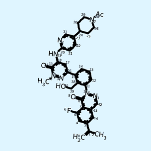 C=C(C)c1cc(F)c2c(=O)n(-c3cccc(-c4cc(Nc5ccc(C6CCN(C(C)=O)CC6)cn5)c(=O)n(C)n4)c3CO)ncc2c1